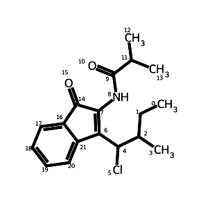 CCC(C)C(Cl)C1=C(NC(=O)C(C)C)C(=O)c2ccccc21